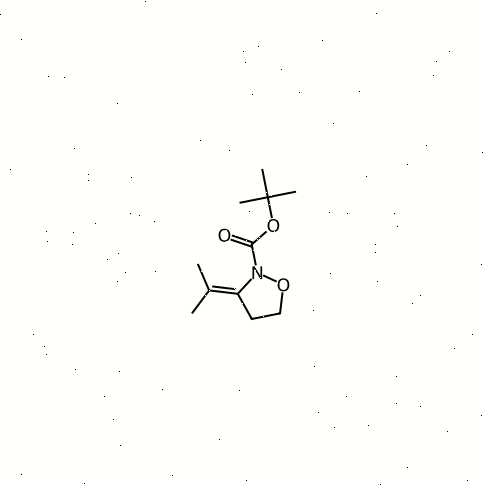 CC(C)=C1CCON1C(=O)OC(C)(C)C